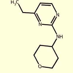 CCc1ccnc(NC2CCOCC2)n1